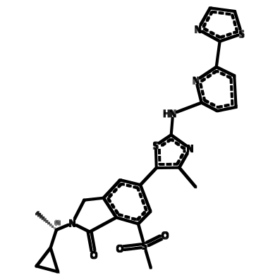 Cc1nc(Nc2cccc(-c3nccs3)n2)sc1-c1cc2c(c(S(C)(=O)=O)c1)C(=O)N([C@@H](C)C1CC1)C2